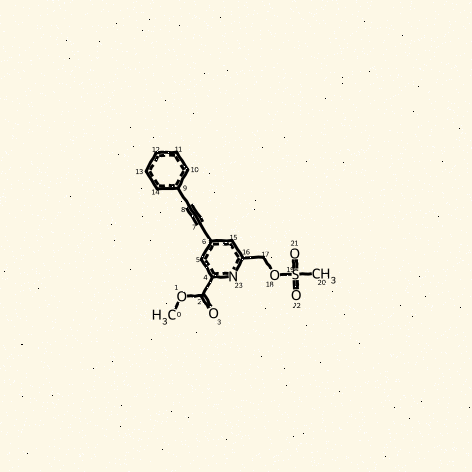 COC(=O)c1cc(C#Cc2ccccc2)cc(COS(C)(=O)=O)n1